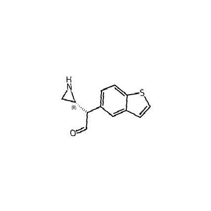 O=CC(c1ccc2sccc2c1)[C@@H]1CN1